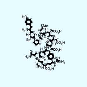 CC[C@H](C)[C@H](NC(=O)[C@@H](N)Cc1ccc(O)cc1)C(=O)N1CCC[C@H]1C(=O)N[C@@H](CCSC)C(=O)N[C@@H](CC(=O)O)C(=O)N[C@@H](CC(=O)O)C(=O)N[C@@H](CC(=O)O)C(=O)N[C@@H](Cc1ccccc1)C(=O)N[C@@H](CCC(N)=O)C(=O)N[C@@H](CC(C)C)C(=O)N[C@@H](CCCNC(=N)N)C(=O)O